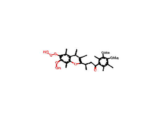 COc1c(C)c(C)c(C(=O)CC(C)C2=C(C)C(C)c3c(C)c(OOO)c(OO)c(C)c3O2)c(C)c1OC